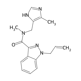 C=CCn1nc(C(=O)N(C)Cc2[nH]cnc2C)c2ccccc21